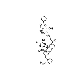 Cc1ccccc1C[C@@H](CNC(=O)c1nc(Cl)c(N)nc1N)CN(CC1CCN(C(=O)CCNC[C@H](O)[C@@H](O)[C@@H]2O[C@H](c3ccccc3)OC[C@H]2O)CC1)C(=O)O